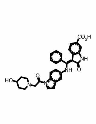 O=C1Nc2cc(C(=O)O)ccc2C1=C(Nc1ccc2c(ccn2C(=O)CN2CCC(O)CC2)c1)c1ccccc1